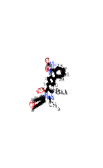 CCCCc1nc(C)n(-c2ccoc2)c(=O)c1Cc1ccc(-c2ccccc2-c2noc(=O)[nH]2)cc1